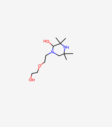 CC1(C)CN(CCOCCO)C(O)C(C)(C)N1